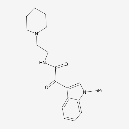 CC(C)n1cc(C(=O)C(=O)NCCN2CCCCC2)c2ccccc21